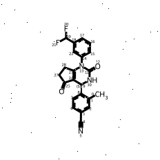 Cc1cc(C#N)ccc1[C@@H]1NC(=O)N(c2cccc(C(F)F)c2)C2=C1C(=O)CC2